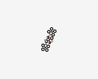 c1ccc(C2(c3ccccc3)c3ccccc3N(c3cnc4c(c3)C3(c5ccccc5Oc5ccccc53)c3cc(N5c6ccccc6C(c6ccccc6)(c6ccccc6)c6ccccc65)cnc3-4)c3ccccc32)cc1